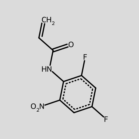 C=CC(=O)Nc1c(F)cc(F)cc1[N+](=O)[O-]